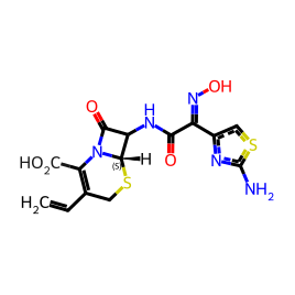 C=CC1=C(C(=O)O)N2C(=O)C(NC(=O)C(=NO)c3csc(N)n3)[C@@H]2SC1